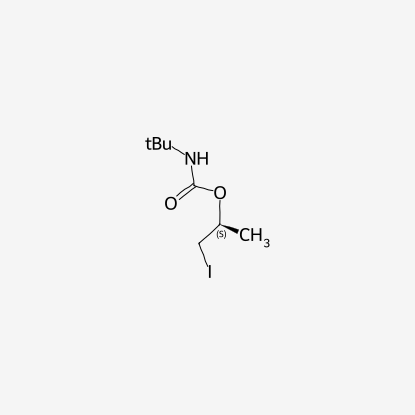 C[C@@H](CI)OC(=O)NC(C)(C)C